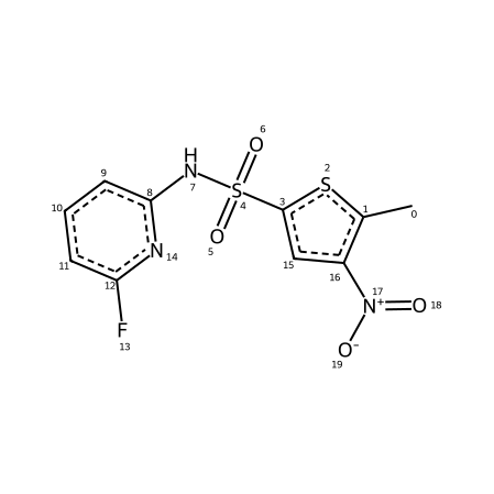 Cc1sc(S(=O)(=O)Nc2cccc(F)n2)cc1[N+](=O)[O-]